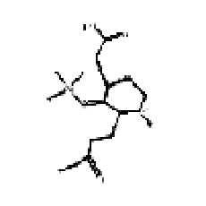 CC(=O)CCC1C(=C[Si](C)(C)C)C(CC(=O)O)CC[C@H]1C